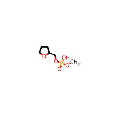 COP(=O)(O)OC[C@@H]1CCCO1